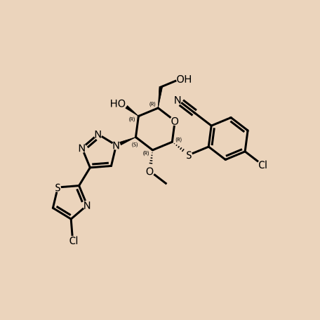 CO[C@@H]1[C@@H](n2cc(-c3nc(Cl)cs3)nn2)[C@@H](O)[C@@H](CO)O[C@@H]1Sc1cc(Cl)ccc1C#N